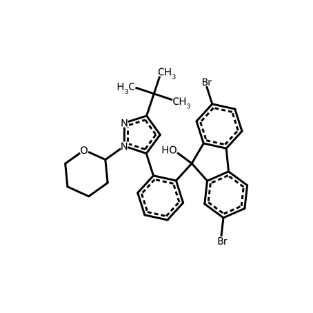 CC(C)(C)c1cc(-c2ccccc2C2(O)c3cc(Br)ccc3-c3ccc(Br)cc32)n(C2CCCCO2)n1